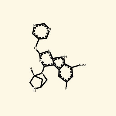 CNc1cc(F)cc2c1[nH]c1nc(Oc3cncnc3)nc(N3CC4C[C@@H]3CN4)c12